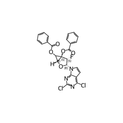 O=C(OC1[C@H]2O[C@@H](n3ccc4c(Cl)nc(Cl)nc43)[C@@H](F)[C@@]12OC(=O)c1ccccc1)c1ccccc1